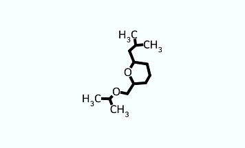 CC(C)CC1CCCC(COC(C)C)O1